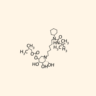 CC(C)COC(=O)O[C@H]1CN(CCCCCCN(C(=O)NC(C)(C)C)C2CCCCC2)[C@H](CO)[C@@H](O)[C@@H]1O